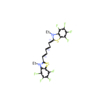 CCN1/C(=C/C=C/C=C/c2sc3c(F)c(F)c(F)c(F)c3[n+]2CC)Sc2c(F)c(F)c(F)c(F)c21